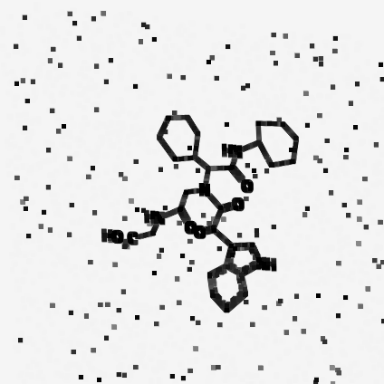 O=C(O)CNC(=O)CN(C(=O)C(=O)c1c[nH]c2ccccc12)C(C(=O)NC1CCCCC1)C1CCCCC1